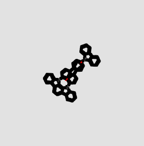 C1=CC2c3ccc4c5ccccc5n(-c5ccc(-c6ccc(-n7c8ccccc8c8ccccc87)cc6)cc5)c4c3N(c3ccc(-c4ccccc4)cc3)C2C=C1